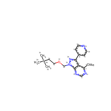 COc1ncnc2c1c(-c1ccncc1)nn2COCC[Si](C)(C)C